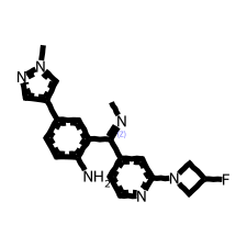 C/N=C(/c1ccnc(N2CC(F)C2)c1)c1cc(-c2cnn(C)c2)ccc1N